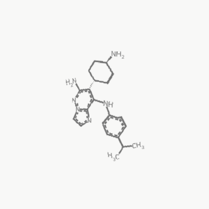 CC(C)c1ccc(Nc2c3nccn3nc(N)c2[C@H]2CC[C@H](N)CC2)cc1